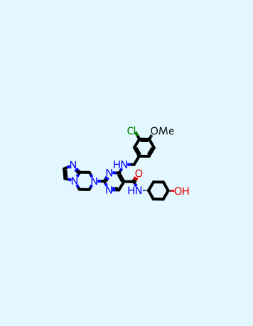 COc1ccc(CNc2nc(N3CCn4ccnc4C3)ncc2C(=O)N[C@H]2CC[C@H](O)CC2)cc1Cl